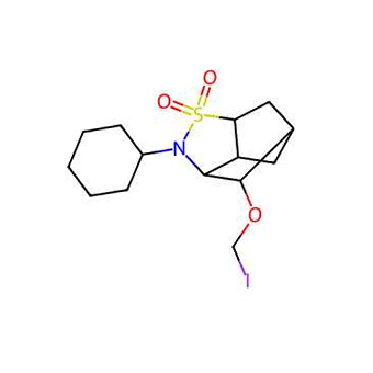 O=S1(=O)C2CC3CC2C(C3OCI)N1C1CCCCC1